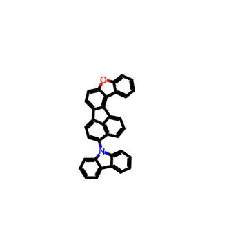 c1ccc2c(c1)oc1ccc3c(c12)-c1cccc2c(-n4c5ccccc5c5ccccc54)ccc-3c12